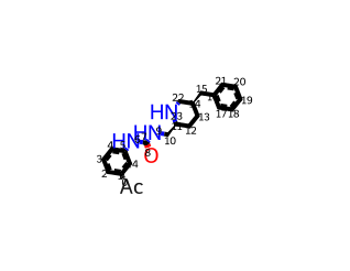 CC(=O)c1cccc(NC(=O)NC[C@@H]2CC[C@H](Cc3ccccc3)CN2)c1